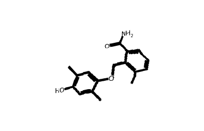 Cc1cc(OCc2c(C)cccc2C(N)=O)c(C)cc1O